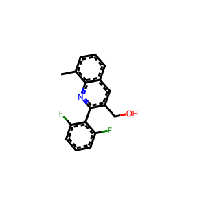 Cc1cccc2cc(CO)c(-c3c(F)cccc3F)nc12